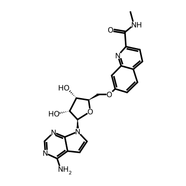 CNC(=O)c1ccc2ccc(OC[C@H]3O[C@@H](n4ccc5c(N)ncnc54)[C@H](O)[C@@H]3O)cc2n1